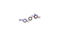 Cc1nc(Br)ccc1OC1CCC(OC2CCN(C(C)C)CC2)CC1